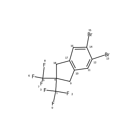 FC(F)(F)C1(C(F)(F)F)Cc2cc(Br)c(Br)cc2C1